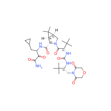 CC(C)(C)[C@H](NC(=O)N[C@H](CN1C(=O)COCC1=O)C(C)(C)C)C(=O)N1C[C@H]2[C@@H]([C@H]1C(=O)NC(CC1CC1)C(=O)C(N)=O)C2(C)C